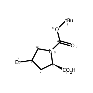 CCC1C[C@H](C(=O)O)N(C(=O)OC(C)(C)C)C1